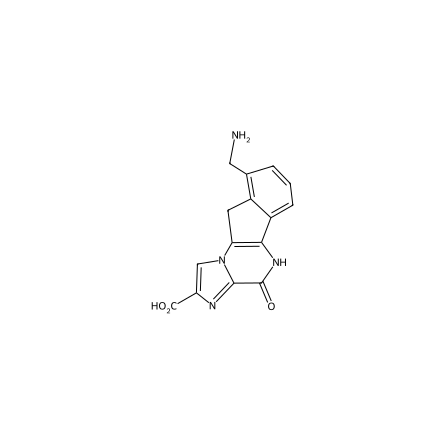 NCc1cccc2c1Cc1c-2[nH]c(=O)c2nc(C(=O)O)cn12